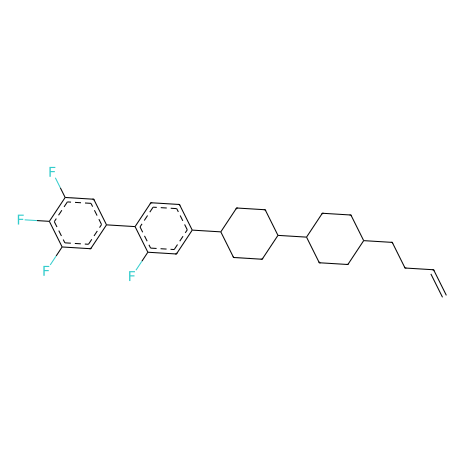 C=CCCC1CCC(C2CCC(c3ccc(-c4cc(F)c(F)c(F)c4)c(F)c3)CC2)CC1